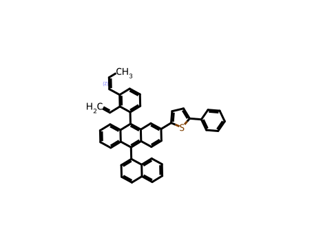 C=Cc1c(/C=C\C)cccc1-c1c2ccccc2c(-c2cccc3ccccc23)c2ccc(-c3ccc(-c4ccccc4)s3)cc12